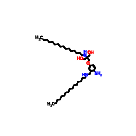 CCCCCCCCCCCCCCCCNCc1cc(OCC(CO)(CO)NCCCCCCCCCCCCCCCC)ccc1N